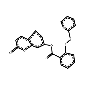 O=C(Oc1ccc2ccc(=O)oc2c1)c1ccccc1SSc1ccccn1